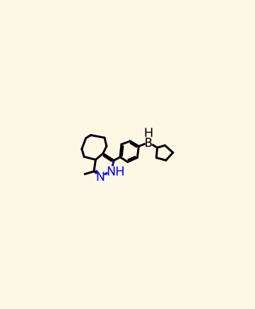 CC1=NNC(c2ccc(BC3CCCC3)cc2)=C2CCCCCCC12